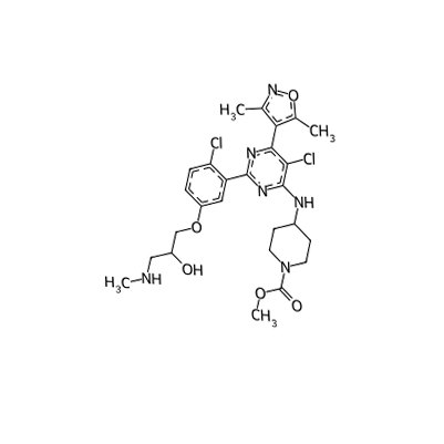 CNCC(O)COc1ccc(Cl)c(-c2nc(NC3CCN(C(=O)OC)CC3)c(Cl)c(-c3c(C)noc3C)n2)c1